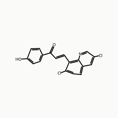 O=C(/C=C/c1c(Cl)ccc2cc(Cl)cnc12)c1ccc(O)cc1